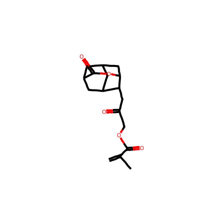 C=C(C)C(=O)OCC(=O)CC1C2CC3CC(C2)C(=O)OC1C3